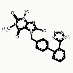 CCc1nc2c(c(=O)n(C)c(=O)n2CC)n1Cc1ccc(-c2ccccc2-c2nnn[nH]2)cc1